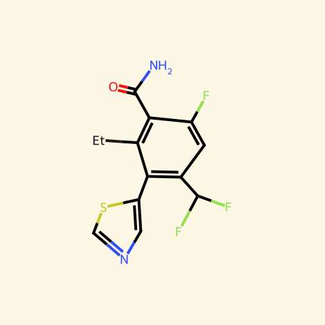 CCc1c(C(N)=O)c(F)cc(C(F)F)c1-c1cncs1